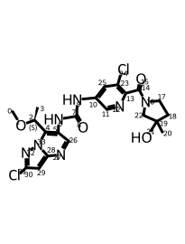 CO[C@@H](C)c1c(NC(=O)Nc2cnc(C(=O)N3CCC(C)(O)C3)c(Cl)c2)cnc2cc(Cl)nn12